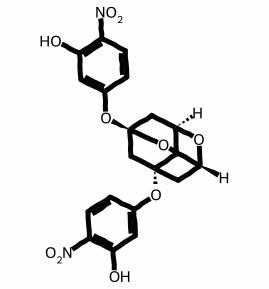 O=[N+]([O-])c1ccc(O[C@@]23C[C@H]4C[C@@](Oc5ccc([N+](=O)[O-])c(O)c5)(C2)O[C@@H](C3)O4)cc1O